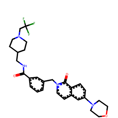 O=C(NCC1CCN(CC(F)(F)F)CC1)c1cccc(Cn2ccc3cc(N4CCOCC4)ccc3c2=O)c1